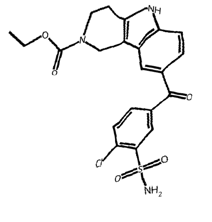 CCOC(=O)N1CCc2[nH]c3ccc(C(=O)c4ccc(Cl)c(S(N)(=O)=O)c4)cc3c2C1